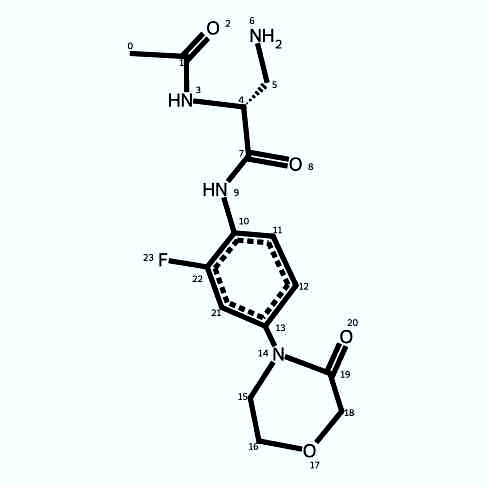 CC(=O)N[C@H](CN)C(=O)Nc1ccc(N2CCOCC2=O)cc1F